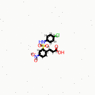 O=C(O)/C=C/c1ccc([N+](=O)[O-])cc1S(=O)(=O)Nc1ccc(Cl)cc1